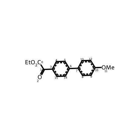 CCOC(=O)C(=O)c1ccc(-c2ccc(OC)cc2)cc1